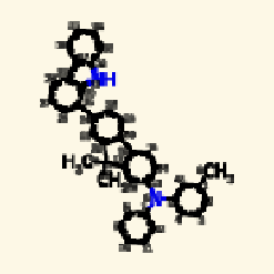 Cc1cccc(N(c2ccccc2)c2ccc3c(c2)C(C)(C)c2cc(-c4cccc5c4[nH]c4ccccc45)ccc2-3)c1